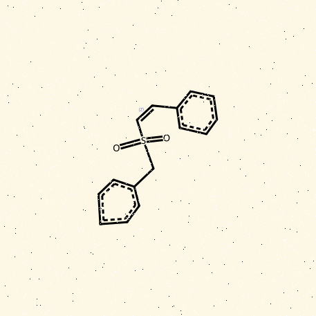 O=S(=O)(/C=C\c1ccccc1)Cc1ccccc1